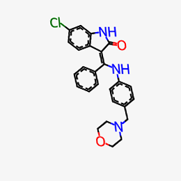 O=C1Nc2cc(Cl)ccc2/C1=C(/Nc1ccc(CN2CCOCC2)cc1)c1ccccc1